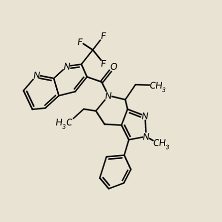 CCC1Cc2c(nn(C)c2-c2ccccc2)C(CC)N1C(=O)c1cc2cccnc2nc1C(F)(F)F